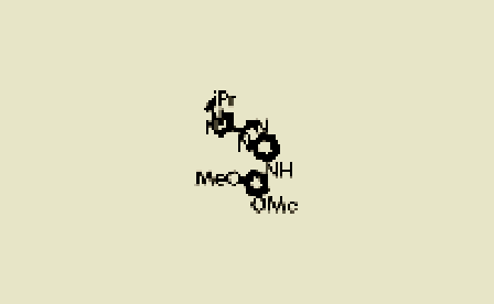 COc1cc(Nc2ccc3ncc(-c4cnn(CC(C)C)c4)nc3c2)cc(OC)c1